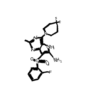 Cc1nc(N2CCC(F)(F)CC2)c2[nH]c(N)c(S(=O)(=O)c3ccccc3F)c2n1